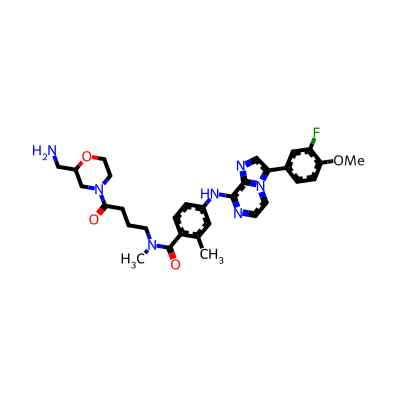 COc1ccc(-c2cnc3c(Nc4ccc(C(=O)N(C)CCCC(=O)N5CCOC(CN)C5)c(C)c4)nccn23)cc1F